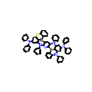 c1ccc(N(c2ccccc2)c2cc3c4c(c2)N(c2ccccc2)c2nc5c(cc2B4c2ccccc2S3)N(c2ccccc2)c2cc(N(c3ccccc3)c3ccccc3)cc3c2B5c2ccccc2N3c2ccccc2)cc1